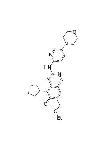 CCOCc1cc2cnc(Nc3ccc(N4CCOCC4)cn3)nc2n(C2CCCC2)c1=O